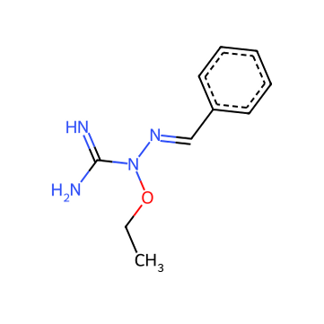 CCON(N=Cc1ccccc1)C(=N)N